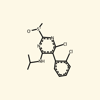 CC(C)Nc1nc([S+](C)[O-])nc(Cl)c1-c1ccccc1Cl